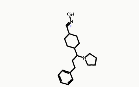 O/N=C/C1CCC(C(CCc2ccccc2)N2CCCC2)CC1